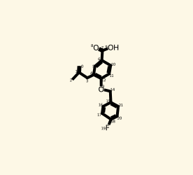 C=C(C)Cc1cc(C(=O)O)ccc1OCc1ccc(F)cc1